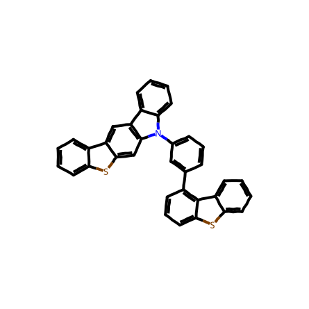 c1cc(-c2cccc3sc4ccccc4c23)cc(-n2c3ccccc3c3cc4c(cc32)sc2ccccc24)c1